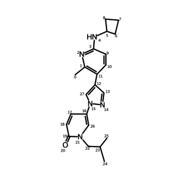 Cc1nc(NC2CCC2)ccc1-c1cnn(-c2ccc(=O)n(CC(C)C)c2)c1